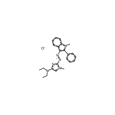 CCN(CC)c1c[n+](C)c(/N=N/c2c(-c3ccccc3)n(C)c3ccccc23)s1.[Cl-]